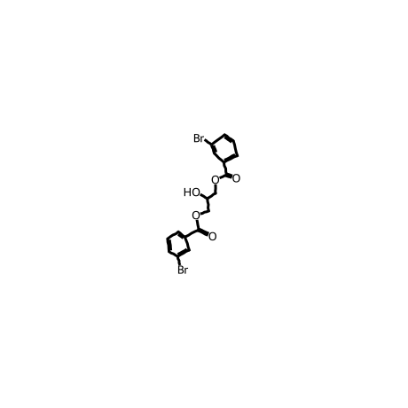 O=C(OCC(O)COC(=O)c1cccc(Br)c1)c1cccc(Br)c1